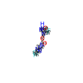 CC1CN(C(=O)CCOCCn2cc(C(F)(F)F)c3c(=O)[nH]ncc32)CCN1c1ncc(C(F)(F)F)cn1